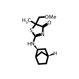 COCC1(C)SC(N[C@H]2C[C@@H]3CCC2C3)=NC1=O